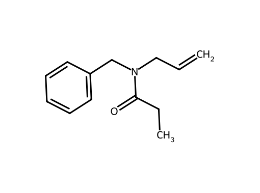 C=CCN(Cc1ccccc1)C(=O)CC